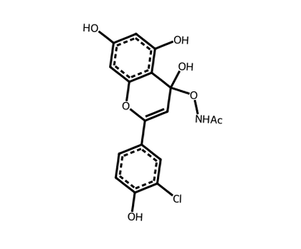 CC(=O)NOC1(O)C=C(c2ccc(O)c(Cl)c2)Oc2cc(O)cc(O)c21